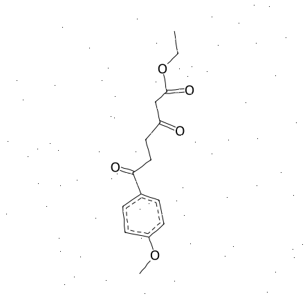 CCOC(=O)CC(=O)CCC(=O)c1ccc(OC)cc1